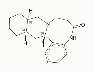 O=C1CCN2C[C@@H]3CCCC[C@H]3C[C@H]2c2ccccc2N1